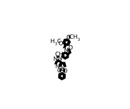 COc1ccc(CN2C(=O)CC3CCC(n4c(C)nc5cnc6c(ccn6S(=O)(=O)c6ccccc6)c54)CC32)c(OC)c1